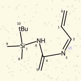 C=C/C=N\C(=C)N[Si](C)(C)C(C)(C)C